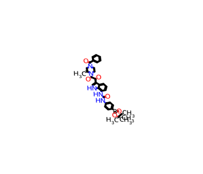 C[C@@H]1CN(C(=O)c2ccccc2)CCN1C(=O)C(=O)c1c[nH]c2c(NC(=O)Nc3ccc(B4OC(C)(C)C(C)(C)O4)cc3)cccc12